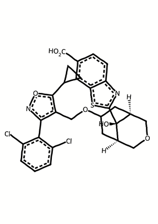 O=C(O)c1ccc2nc([C@]3(O)[C@@H]4COC[C@H]3CC(OCc3c(-c5c(Cl)cccc5Cl)noc3C3CC3)C4)sc2c1